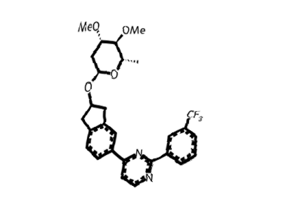 CO[C@H]1[C@H](C)O[C@@H](OC2Cc3ccc(-c4ccnc(-c5cccc(C(F)(F)F)c5)n4)cc3C2)C[C@@H]1OC